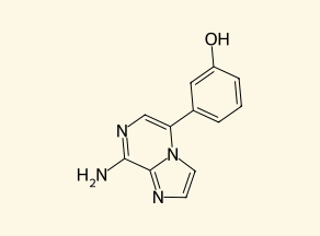 Nc1ncc(-c2cccc(O)c2)n2ccnc12